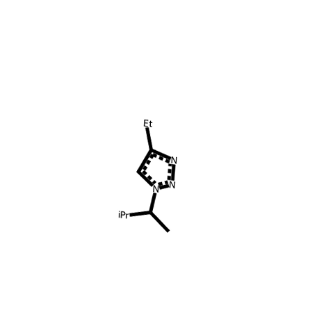 CCc1cn(C(C)C(C)C)nn1